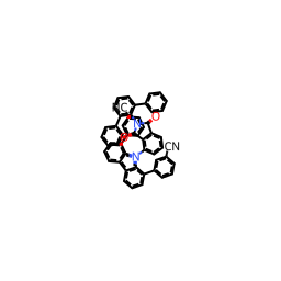 N#Cc1cccc(-c2cccc3c4cccc(-c5cccc(C#N)c5)c4n(-c4cccc5c4C(=O)N(c4c(-c6ccccc6)cccc4-c4ccccc4)C5=O)c23)c1